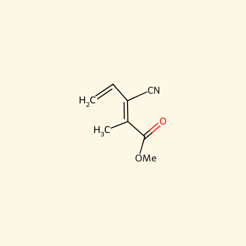 C=CC(C#N)=C(C)C(=O)OC